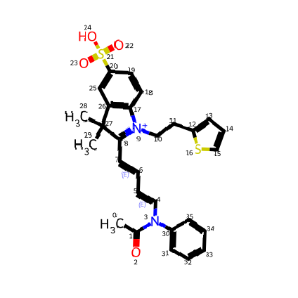 CC(=O)N(/C=C/C=C/C1=[N+](CCc2cccs2)c2ccc(S(=O)(=O)O)cc2C1(C)C)c1ccccc1